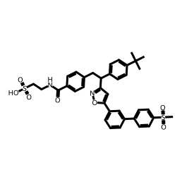 CC(C)(C)c1ccc(C(Cc2ccc(C(=O)NCCS(=O)(=O)O)cc2)c2cc(-c3cccc(-c4ccc(S(C)(=O)=O)cc4)c3)on2)cc1